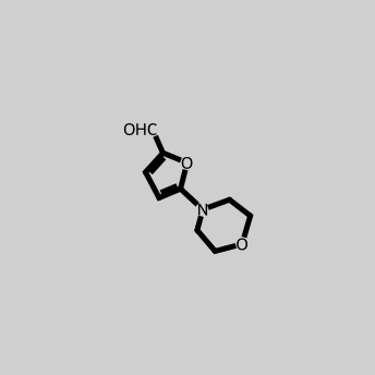 O=Cc1ccc(N2CCOCC2)o1